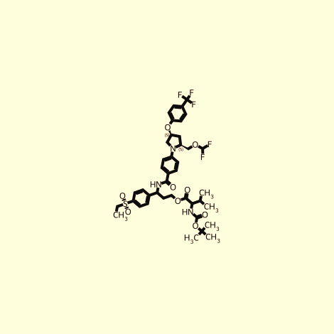 CCS(=O)(=O)c1ccc(C(CCOC(=O)C(NC(=O)OC(C)(C)C)C(C)C)NC(=O)c2ccc(N3C[C@@H](Oc4ccc(C(F)(F)F)cc4)C[C@H]3COC(F)F)cc2)cc1